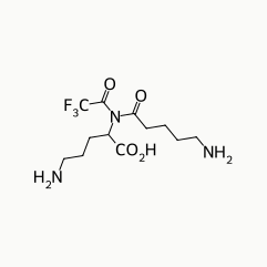 NCCCCC(=O)N(C(=O)C(F)(F)F)C(CCCN)C(=O)O